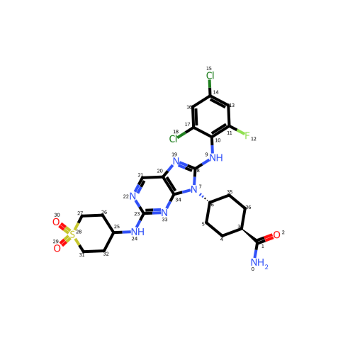 NC(=O)[C@H]1CC[C@H](n2c(Nc3c(F)cc(Cl)cc3Cl)nc3cnc(NC4CCS(=O)(=O)CC4)nc32)CC1